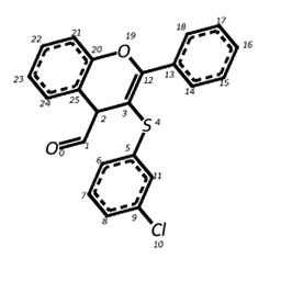 O=CC1C(Sc2cccc(Cl)c2)=C(c2ccccc2)Oc2ccccc21